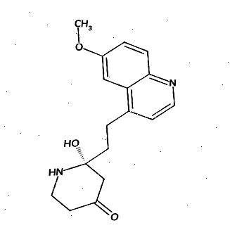 COc1ccc2nccc(CC[C@@]3(O)CC(=O)CCN3)c2c1